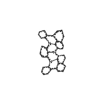 c1cc2ccc3c4c2c(c1)c1ccccc1n-4c1cccc2c1n3c1ccc3cccc4c5ccccc5n2-c1c34